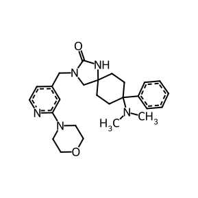 CN(C)C1(c2ccccc2)CCC2(CC1)CN(Cc1ccnc(N3CCOCC3)c1)C(=O)N2